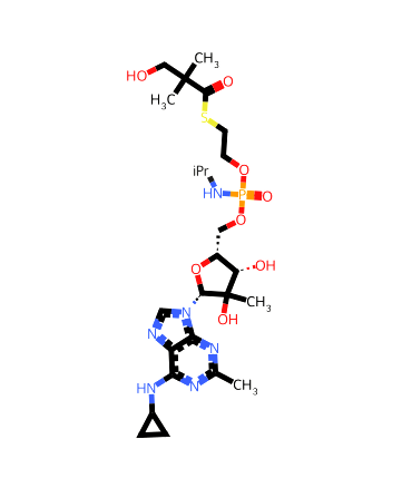 Cc1nc(NC2CC2)c2ncn([C@@H]3O[C@H](COP(=O)(NC(C)C)OCCSC(=O)C(C)(C)CO)[C@H](O)C3(C)O)c2n1